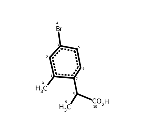 Cc1cc(Br)ccc1C(C)C(=O)O